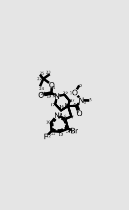 CON(C)C(=O)C1(Cc2ncc(F)cc2Br)CCN(C(=O)OC(C)(C)C)CC1